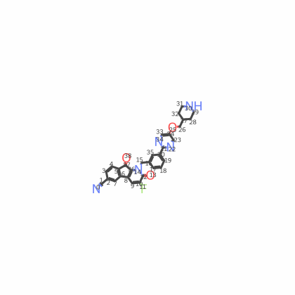 N#Cc1ccc2c(c1)-c1cc(F)c(=O)n(Cc3cccc(-c4ncc(OCC5CCNCC5)cn4)c3)c1C2=O